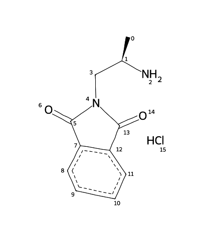 C[C@@H](N)CN1C(=O)c2ccccc2C1=O.Cl